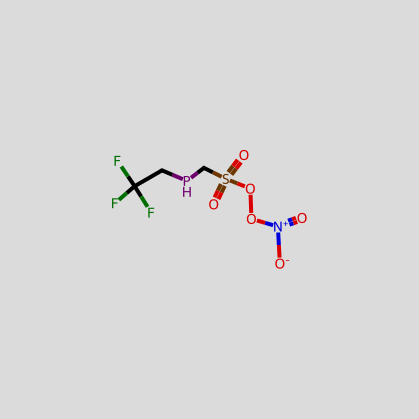 O=[N+]([O-])OOS(=O)(=O)CPCC(F)(F)F